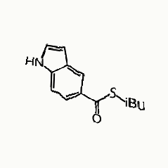 CCC(C)SC(=O)c1ccc2[nH]ccc2c1